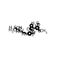 COc1cc(OC)cc(-c2nn(-c3cc(NCCCNC(=O)OC(C)(C)C)ccc3C(F)(F)F)c(=O)c3c2CCC3)c1